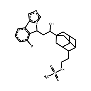 CS(=O)(=O)NCCC1C2CC3CC1CC(C(O)CC1c4c(F)cccc4-c4cncn41)(C3)C2